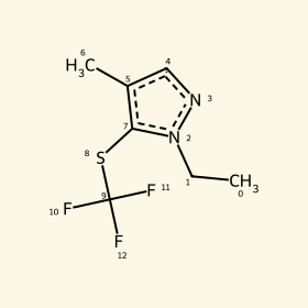 CCn1n[c]c(C)c1SC(F)(F)F